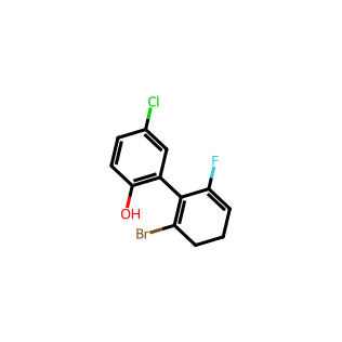 Oc1ccc(Cl)cc1C1=C(Br)CCC=C1F